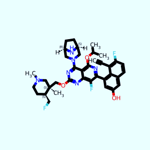 C#Cc1c(F)ccc2cc(O)cc(-c3nc(OC(C)C)c4c(N5C[C@H]6CC[C@@H](C5)N6)nc(OC[C@]5(C)CN(C)CC[C@@H]5CF)nc4c3F)c12